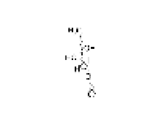 CCCCC[C@H](O)/C=C/[C@@H]1[C@H]2CC(COCCCN3CCCC3)=C[C@H]2C[C@H]1O